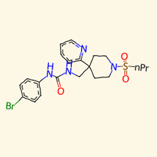 CCCS(=O)(=O)N1CCC(CNC(=O)Nc2ccc(Br)cc2)(c2ccccn2)CC1